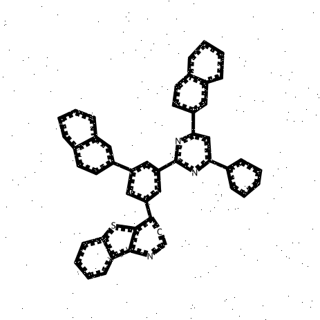 c1ccc(-c2cc(-c3ccc4ccccc4c3)nc(-c3cc(-c4ccc5ccccc5c4)cc(-c4ccnc5c4sc4ccccc45)c3)n2)cc1